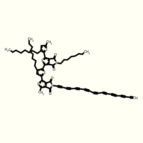 C#CC#CC#CC#CC#CC#CC#CC#CC#CN1C(=O)c2c(C)sc(-c3cc(CCCCCCCC)c(-c4sc(-c5sc(C)cc5CCCCCCCC)c5c4C(=O)N(CCCCCCCC)C5=O)s3)c2C1=O